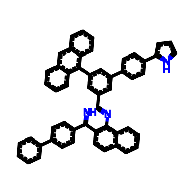 N=C(c1ccc(-c2ccccc2)cc1)c1ccc2ccccc2c1/N=C/c1cc(-c2ccc(-c3ccc[nH]3)cc2)cc(-c2c3ccccc3cc3ccccc23)c1